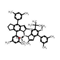 COc1c(C(C)(C)C)cc2c(c1-c1cc(C)cc(C)c1)C=C(C)[CH]2[Zr]([CH]1C(C)=Cc2c(-c3cc(C)cc(C)c3)c3c(c(-c4cc(C)cc(C)c4)c21)CCC3)=[Si](C)C